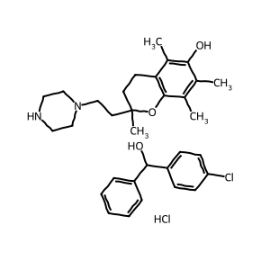 Cc1c(C)c2c(c(C)c1O)CCC(C)(CCN1CCNCC1)O2.Cl.OC(c1ccccc1)c1ccc(Cl)cc1